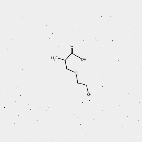 CC(COCC[O])C(=O)O